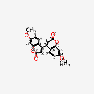 COc1ccc2c(-c3cc(=O)oc4cc(OC)ccc34)cc(=O)oc2c1